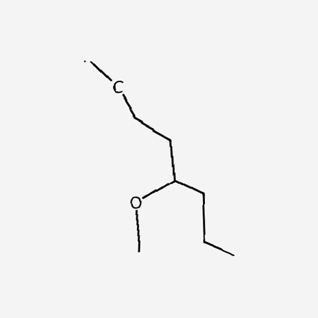 [CH2]CCCC(CCC)OC